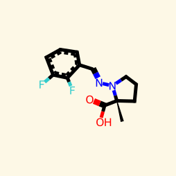 C[C@]1(C(=O)O)CCCN1N=Cc1cccc(F)c1F